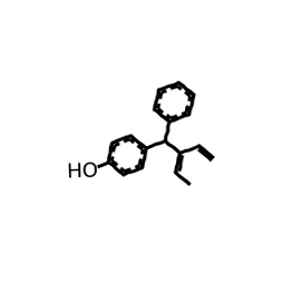 C=C/C(=C\C)C(c1ccccc1)c1ccc(O)cc1